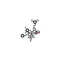 CC[C@@H](C)[C@@]1(NC(C)=O)CCN([C@@H](CCc2ccccc2)C(=O)N[C@@H](Cc2cc(F)cc(F)c2)[C@H](O[Si](C)(C)C(C)(C)C)[C@H]2C[C@@H](OCc3cc(OC)cc(OC)c3)CN2C(=O)OC(C)(C)C)C1=O